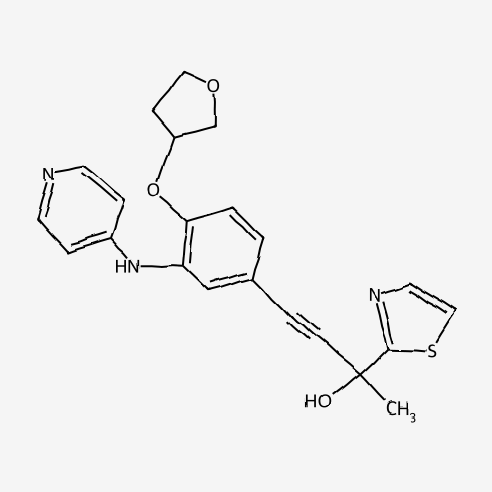 CC(O)(C#Cc1ccc(OC2CCOC2)c(Nc2ccncc2)c1)c1nccs1